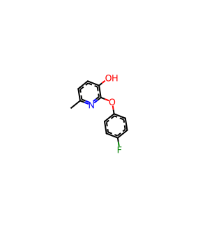 Cc1ccc(O)c(Oc2ccc(F)cc2)n1